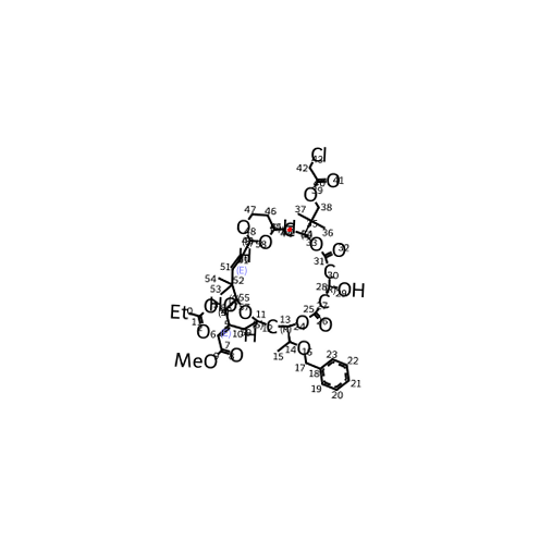 CCC(=O)O[C@H]1/C(=C/C(=O)OC)C[C@H]2C[C@H](C(C)OCc3ccccc3)OC(=O)C[C@H](O)CC(=O)O[C@H](C(C)(C)COC(=O)CCl)C[C@@H]3CCO[C@H](/C=C/C(C)(C)[C@]1(O)O2)O3